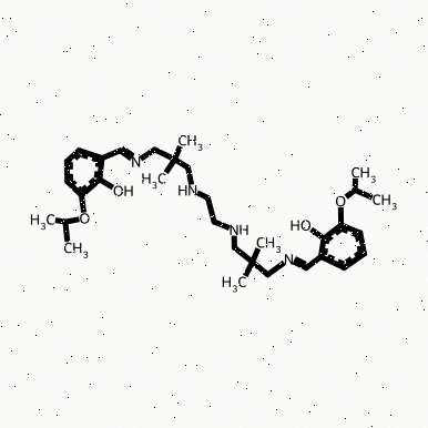 CC(C)Oc1cccc(/C=N/CC(C)(C)CNCCNCC(C)(C)C/N=C/c2cccc(OC(C)C)c2O)c1O